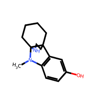 CN1c2ccc(O)cc2C23CCCCC12NCC3